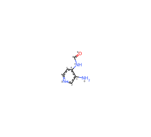 Nc1cnccc1NC=O